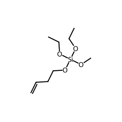 C=CCCO[Si](OC)(OCC)OCC